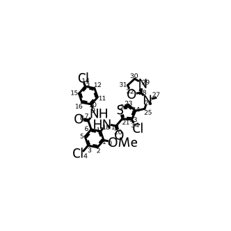 COc1cc(Cl)cc(C(=O)Nc2ccc(Cl)cc2)c1NC(=O)c1scc(CN(C)C2=NCCO2)c1Cl